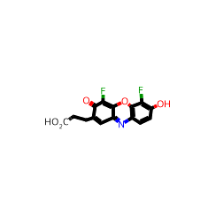 O=C(O)CCc1cc2nc3ccc(O)c(F)c3oc-2c(F)c1=O